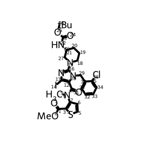 COC(=O)c1sccc1N(C)C(=O)c1c(I)nc(N2CCC[C@@H](NC(=O)OC(C)(C)C)C2)n1Cc1ccccc1Cl